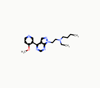 CCCCN(CC)CCn1ncc2c(-c3cnccc3OC)ncnc21